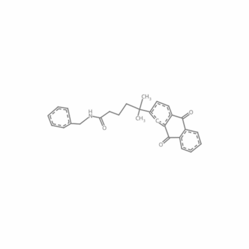 CC(C)(CCCC(=O)NCc1ccccc1)c1ccc2c(c1)C(=O)c1ccccc1C2=O